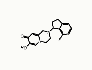 O=c1cc2n(cc1O)CCN(C1CCc3cccc(F)c31)C2